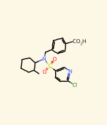 CC1CCCCC1N(Cc1ccc(C(=O)O)cc1)S(=O)(=O)c1ccc(Cl)nc1